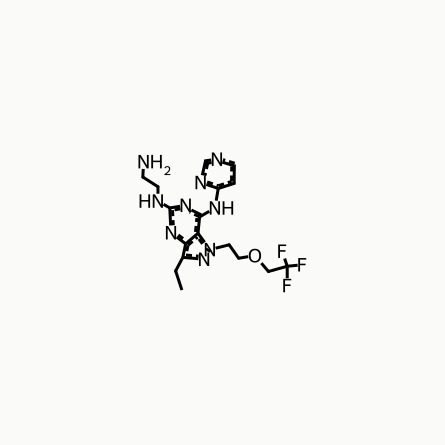 CCc1nn(CCOCC(F)(F)F)c2c(Nc3ccncn3)nc(NCCN)nc12